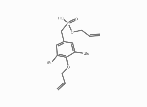 C=CCOc1c(C(C)(C)C)cc(CP(=O)(O)OCC=C)cc1C(C)(C)C